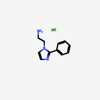 Cl.NCCn1ccnc1-c1ccccc1